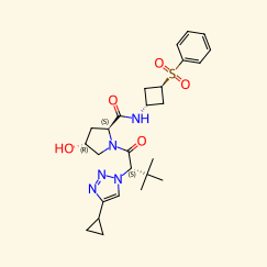 CC(C)(C)[C@@H](C(=O)N1C[C@H](O)C[C@H]1C(=O)N[C@H]1C[C@H](S(=O)(=O)c2ccccc2)C1)n1cc(C2CC2)nn1